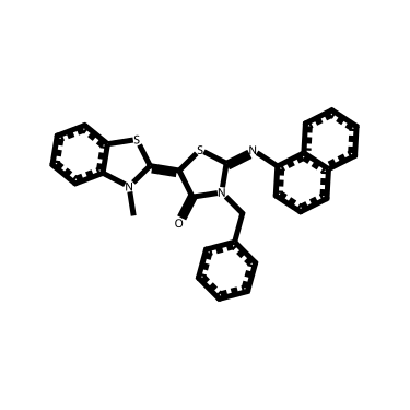 CN1C(=C2SC(=Nc3cccc4ccccc34)N(Cc3ccccc3)C2=O)Sc2ccccc21